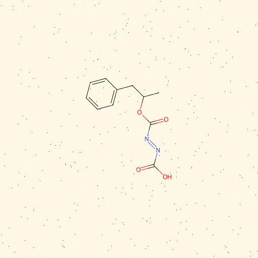 CC(Cc1ccccc1)OC(=O)N=NC(=O)O